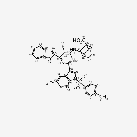 Cc1ccc(S(=O)(=O)n2cc(-c3nc(NC4C5CCC(CC5)C4C(=O)O)c(F)c(-c4cc5ccccc5o4)n3)c3cc(F)cnc32)cc1